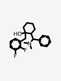 CN(C)C(c1ccccc1)C1CCCCC1(O)Cc1cccc(F)c1F